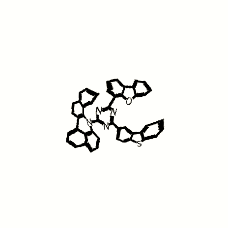 c1ccc2c3c(ccc2c1)-c1cccc2cccc(c12)N3c1nc(-c2ccc3sc4ccccc4c3c2)nc(-c2cccc3c2oc2ccccc23)n1